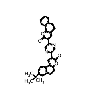 CC(C)(C)c1ccc2c(ccc3oc(=O)c(-c4cnc(-c5cc6ccc7ccccc7c6oc5=O)cn4)cc32)c1